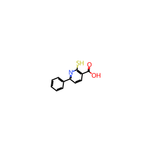 O=C(O)c1ccc(-c2ccccc2)nc1S